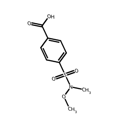 CON(C)S(=O)(=O)c1ccc(C(=O)O)cc1